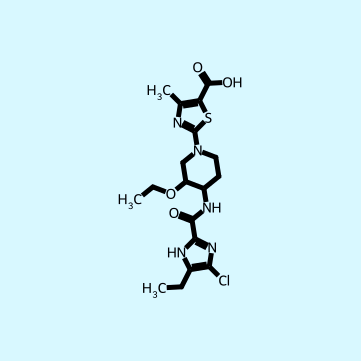 CCOC1CN(c2nc(C)c(C(=O)O)s2)CCC1NC(=O)c1nc(Cl)c(CC)[nH]1